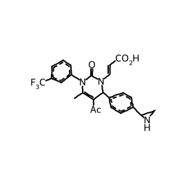 CC(=O)C1=C(C)N(c2cccc(C(F)(F)F)c2)C(=O)N(/C=C/C(=O)O)C1c1ccc(C2CN2)cc1